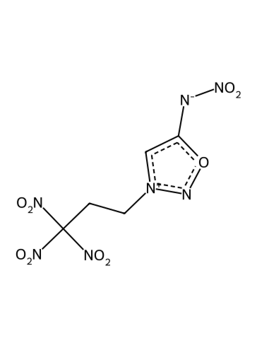 O=[N+]([O-])[N-]c1c[n+](CCC([N+](=O)[O-])([N+](=O)[O-])[N+](=O)[O-])no1